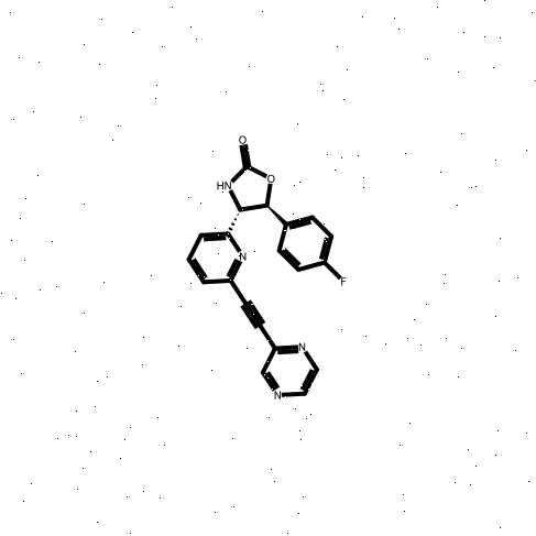 O=C1N[C@@H](c2cccc(C#Cc3cnccn3)n2)[C@H](c2ccc(F)cc2)O1